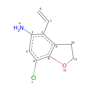 C=Cc1c(N)cc(Cl)c2c1CCO2